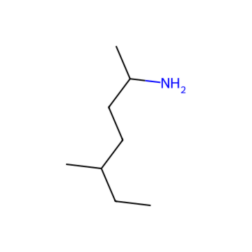 CCC(C)CCC(C)N